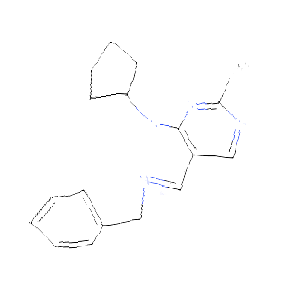 CSc1ncc(/C=N/Cc2ccccc2)c(NC2CCCC2)n1